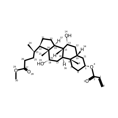 C=CC(=O)O[C@@H]1CC[C@@]2(C)[C@@H](C1)C[C@@H](O)[C@@H]1[C@@H]2C[C@H](O)[C@]2(C)[C@@H]([C@H](C)CCC(=O)OC)CC[C@@H]12